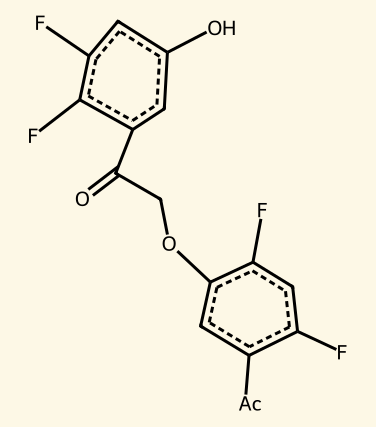 CC(=O)c1cc(OCC(=O)c2cc(O)cc(F)c2F)c(F)cc1F